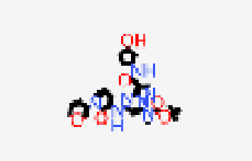 CN(C(=O)OC(C)(C)C)c1cc(Nc2cccn([C@@H]3CCCOC3)c2=O)nc2c(C(=O)NC3CC[C@@H](O)C3)cnn12